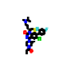 C=CC(=O)N1CCN(c2nc(=O)n3c4c(c(-c5ccc(F)cc5F)c(Cl)cc24)SC[C@H]3CCCN(C)C(C)C)[C@@H](C)C1